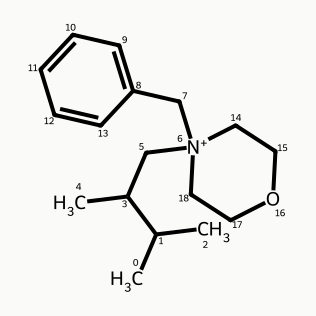 CC(C)C(C)C[N+]1(Cc2ccccc2)CCOCC1